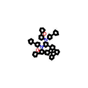 c1ccc(-c2ccc(N(c3cc(-c4cccc5c4-c4ccccc4C54c5ccccc5-c5ccccc54)cc(N(c4ccc(-c5ccccc5)cc4)c4cccc5c4oc4ccccc45)c3)c3cccc4c3oc3ccccc34)cc2)cc1